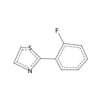 Fc1ccccc1-c1nc[c]s1